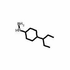 BNC1CCC(C(CC)CC)CC1